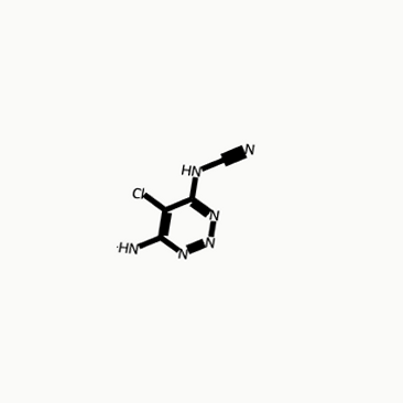 N#CNc1nnnc([NH])c1Cl